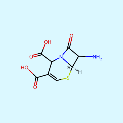 NC1C(=O)N2C(C(=O)O)C(C(=O)O)=CS[C@H]12